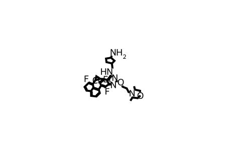 CCC1CC1c1c(F)ccc2cccc(-c3c(Cl)cc4c(NCC5CCC(N)C5)nc(OCCCN5C(C)COCC5C)nc4c3F)c12